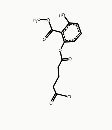 COC(=O)c1c(O)cccc1OC(=O)CCCC(=O)Cl